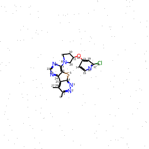 Cc1nnc2sc3c(N4CC[C@@H](Oc5ccnc(Cl)c5)C4)ncnc3c2c1C